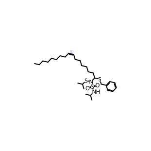 CCCCCCCC/C=C\CCCCCCC(SCc1ccccc1)N(SC(C)C)S(=O)(=O)NC(C)C